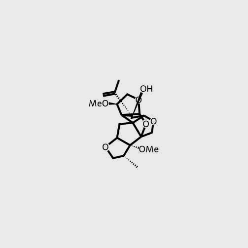 C=C(C)[C@@H]1[C@@H](O)C2OCC34OC5OC[C@H](OC)C51C23CC1OC[C@@H](C)[C@@]14OC